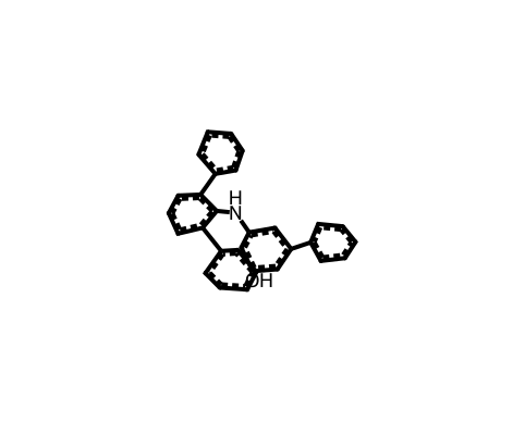 Oc1cc(Nc2c(-c3ccccc3)cccc2-c2ccccc2)cc(-c2ccccc2)c1